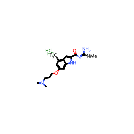 CNC(N)=NC(=O)c1cc2c(C(F)(F)F)cc(OCCCN(C)C)cc2[nH]1.Cl.Cl